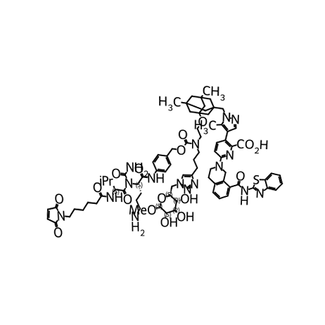 CO[C@H]1O[C@@H](Cn2cc(CCCN(CCOC34CC5(C)CC(C)(CC(Cn6ncc(-c7ccc(N8CCc9cccc(C(=O)Nc%10nc%11ccccc%11s%10)c9C8)nc7C(=O)O)c6C)(C5)C3)C4)C(=O)OCc3ccc(NC(=O)[C@H](CCCN)N(C(N)=O)C(=O)[C@@H](NC(=O)CCCCCN4C(=O)C=CC4=O)C(C)C)cc3)nn2)[C@H](O)[C@@H](O)[C@@H]1O